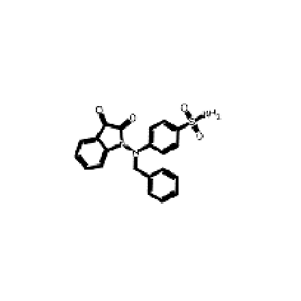 NS(=O)(=O)c1ccc(N(Cc2ccccc2)N2C(=O)C(=O)c3ccccc32)cc1